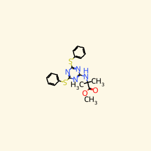 COC(=O)C(C)(C)Nc1nc(Sc2ccccc2)nc(Sc2ccccc2)n1